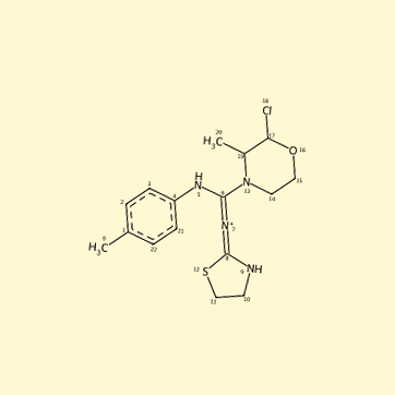 Cc1ccc(NC(=[N+]=C2NCCS2)N2CCOC(Cl)C2C)cc1